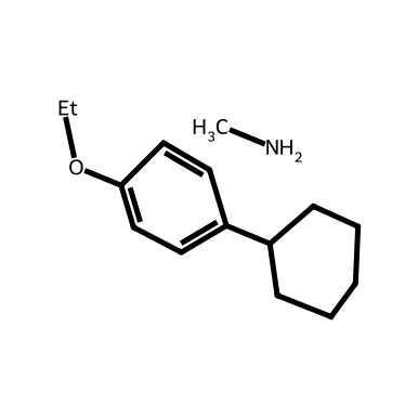 CCOc1ccc(C2CCCCC2)cc1.CN